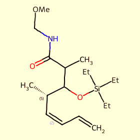 C=C/C=C\[C@H](C)C(O[Si](CC)(CC)CC)C(C)C(=O)NCOC